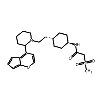 CS(=O)(=O)CC(=O)N[C@H]1CC[C@H](CCN2CCCCC2c2ccoc3cccc2-3)CC1